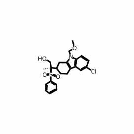 COCn1c2c(c3cc(Cl)ccc31)CCC([C@](C)(CO)S(=O)(=O)c1ccccc1)C2